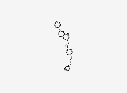 c1ccc(-c2ccc3cc(COc4ccc(CCCn5ccnc5)cc4)cnc3c2)cc1